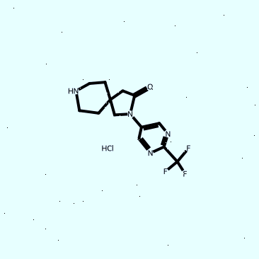 Cl.O=C1CC2(CCNCC2)CN1c1cnc(C(F)(F)F)nc1